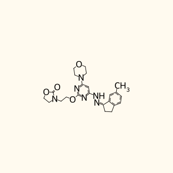 Cc1ccc2c(c1)/C(=N\Nc1cc(N3CCOCC3)nc(OCCN3CCOC3=O)n1)CC2